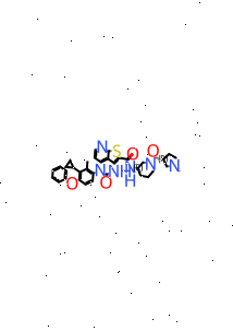 Cc1c(N2C(=O)Nc3c(C(=O)N[C@@H]4CCCN(C(=O)[C@@H]5CCN(C)C5)C4)sc4nccc2c34)ccc(Oc2ccccc2)c1C1CC1